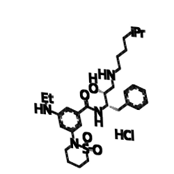 CCNc1cc(C(=O)N[C@@H](Cc2ccccc2)[C@H](O)CNCCCCC(C)C)cc(N2CCCCS2(=O)=O)c1.Cl